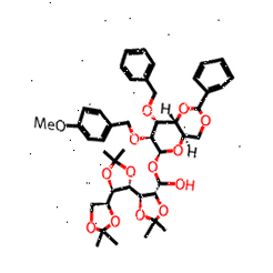 COc1ccc(CO[C@@H]2[C@H](OC(O)[C@@H]3OC(C)(C)O[C@H]3[C@H]3OC(C)(C)O[C@@H]3[C@@H]3COC(C)(C)O3)O[C@@H]3COC(c4ccccc4)O[C@H]3[C@@H]2OCc2ccccc2)cc1